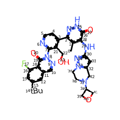 Cc1c(-c2ccnc(-n3ncc4cc(C(C)(C)C)cc(F)c4c3=O)c2CO)n[nH]c(=O)c1Nc1cc2n(n1)CCN(C1COC1)C2